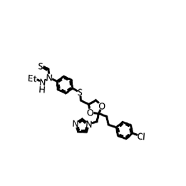 CCNN(C=S)c1ccc(SCC2COC(CCc3ccc(Cl)cc3)(Cn3ccnc3)O2)cc1